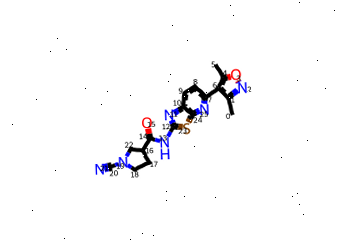 Cc1noc(C)c1-c1ccc2nc(NC(=O)C3CCN(C#N)C3)sc2n1